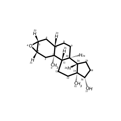 C[C@]12C[C@@H]3O[C@@H]3C[C@@H]1CC[C@@H]1[C@@H]2CC[C@]2(C)[C@@H](O)CC[C@@H]12